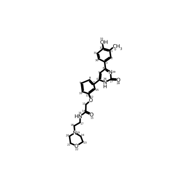 Cc1cc(-c2cc(-c3cccc(OCC(=O)NCCN4CCOCC4)c3)[nH]c(=O)n2)ccc1O